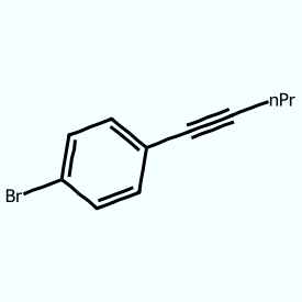 CCCC#Cc1ccc(Br)cc1